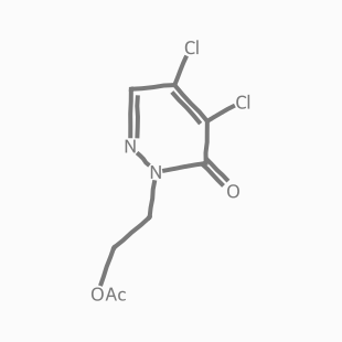 CC(=O)OCCn1ncc(Cl)c(Cl)c1=O